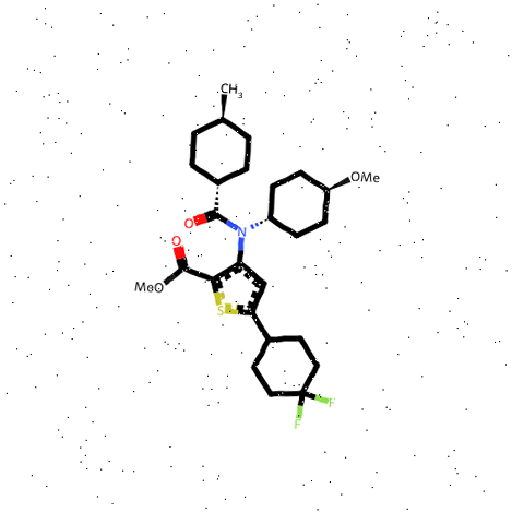 COC(=O)c1sc(C2CCC(F)(F)CC2)cc1N(C(=O)[C@H]1CC[C@H](C)CC1)[C@H]1CC[C@H](OC)CC1